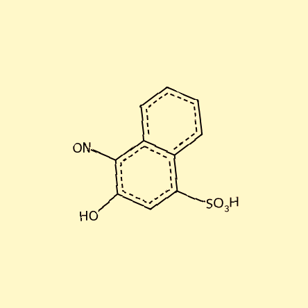 O=Nc1c(O)cc(S(=O)(=O)O)c2ccccc12